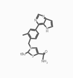 Cc1cc(-c2ncnc3cc[nH]c23)ccc1CN1C=C(C(N)=O)SC1C(C)(C)C